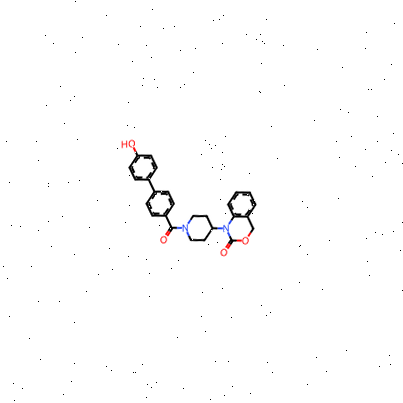 O=C(c1ccc(-c2ccc(O)cc2)cc1)N1CCC(N2C(=O)OCc3ccccc32)CC1